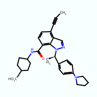 CC#Cc1ccc(C(=O)NC2CCC(C(=O)O)CC2)c2c1cnn2[C@H](C)c1ccc(N2CCCC2)cc1